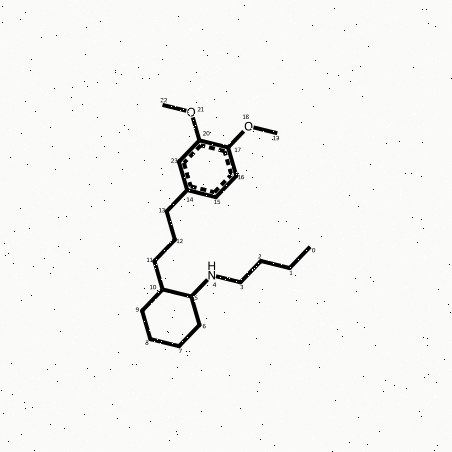 CCCCNC1CCCCC1CCCc1ccc(OC)c(OC)c1